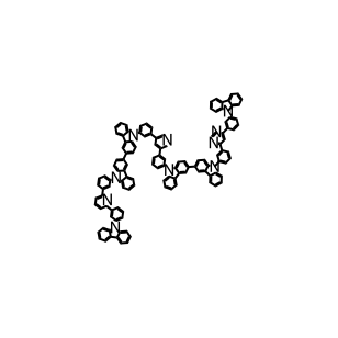 c1cc(-c2cncc(-c3cccc(-n4c5ccccc5c5cc(-c6ccc7c(c6)c6ccccc6n7-c6cccc(-c7cccc(-c8cccc(-n9c%10ccccc%10c%10ccccc%109)c8)n7)c6)ccc54)c3)c2)cc(-n2c3ccccc3c3cc(-c4ccc5c(c4)c4ccccc4n5-c4cccc(-c5cc(-c6cccc(-n7c8ccccc8c8ccccc87)c6)ncn5)c4)ccc32)c1